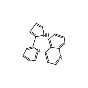 c1ccc(-c2ccc[nH]2)nc1.c1ccc2ncccc2c1